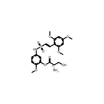 COc1cc(OC)c(C=CS(=O)(=O)Nc2ccc(OC)c(OC(=O)[C@@H](N)CO)c2)c(OC)c1